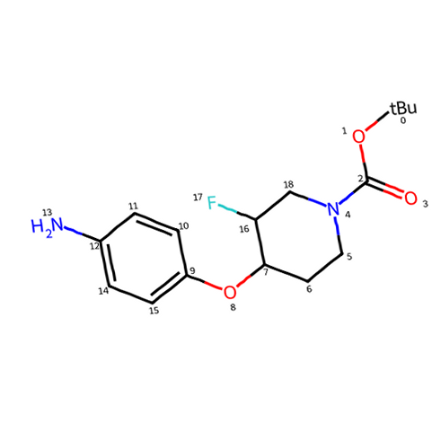 CC(C)(C)OC(=O)N1CCC(Oc2ccc(N)cc2)C(F)C1